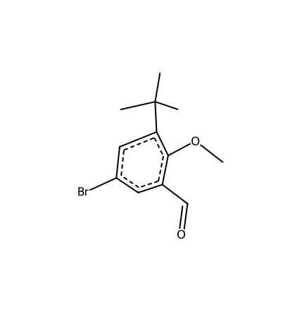 COc1c(C=O)cc(Br)cc1C(C)(C)C